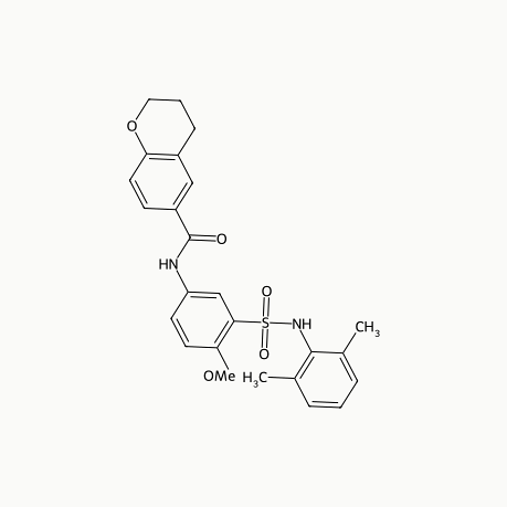 COc1ccc(NC(=O)c2ccc3c(c2)CCCO3)cc1S(=O)(=O)Nc1c(C)cccc1C